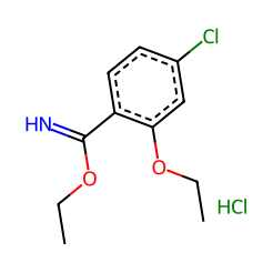 CCOC(=N)c1ccc(Cl)cc1OCC.Cl